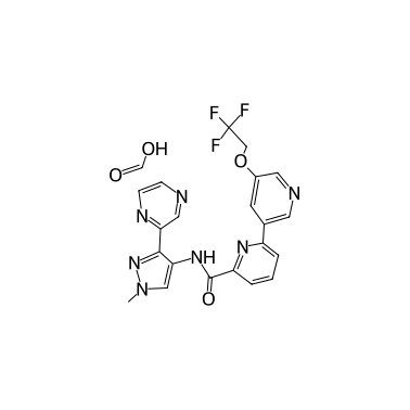 Cn1cc(NC(=O)c2cccc(-c3cncc(OCC(F)(F)F)c3)n2)c(-c2cnccn2)n1.O=CO